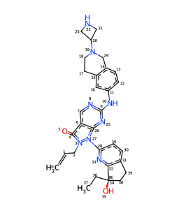 C=CCn1c(=O)c2cnc(Nc3ccc4c(c3)CCN(C3CNC3)C4)nc2n1-c1ccc2c(n1)[C@@](O)(CC)CC2